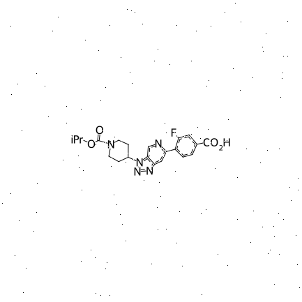 CC(C)OC(=O)N1CCC(n2nnc3cc(-c4ccc(C(=O)O)cc4F)ncc32)CC1